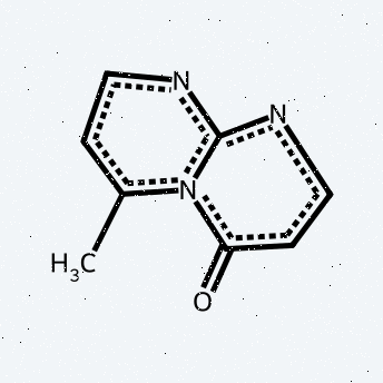 Cc1ccnc2nccc(=O)n12